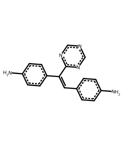 Nc1ccc(C=C(c2ccc(N)cc2)c2ncncn2)cc1